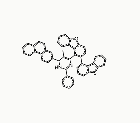 CC1=C(c2c(-c3cccc4sc5ccccc5c34)ccc3oc4ccccc4c23)N=C(c2ccccc2)NC1c1ccc2c(ccc3ccccc32)c1